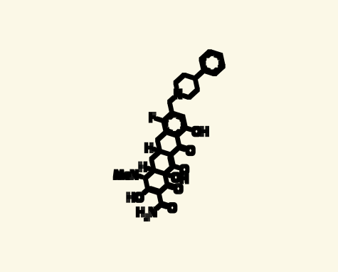 CN[C@@H]1C(O)=C(C(N)=O)C(=O)[C@@]2(O)C(O)=C3C(=O)c4c(O)cc(CN5CCC(c6ccccc6)CC5)c(F)c4C[C@H]3C[C@@H]12